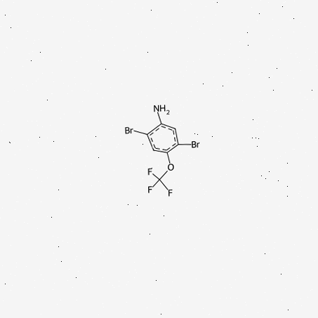 Nc1cc(Br)c(OC(F)(F)F)cc1Br